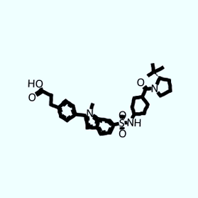 Cn1c(-c2ccc(CCC(=O)O)cc2)cc2ccc(S(=O)(=O)NC3CCC(C(=O)N4CCC[C@H]4C(C)(C)C)CC3)cc21